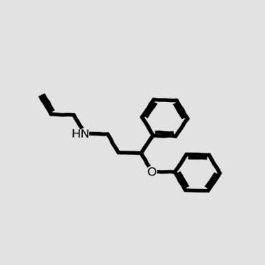 C=CCNCCC(Oc1ccccc1)c1ccccc1